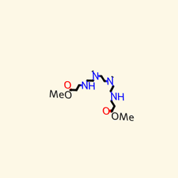 COC(=O)CCNCCN(C)CCN(C)CCNCCC(=O)OC